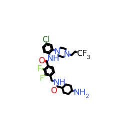 NC1CCC(C(=O)NCc2ccc(C(=O)Nc3ccc(Cl)cc3N3CCN(CCC(F)(F)F)CC3)c(F)c2F)CC1